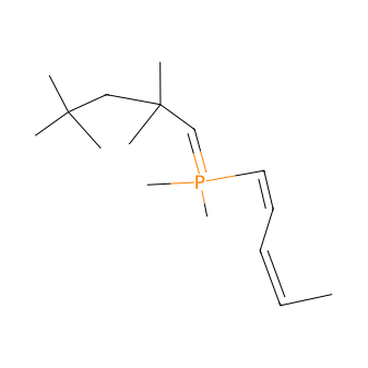 C/C=C\C=C/P(C)(C)=CC(C)(C)CC(C)(C)C